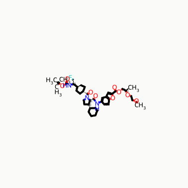 COCCO[C@H](C)COC(=O)c1cc2cc(NC(=O)[C@@H]3[C@H](C4CCCCC4)CCN3C(=O)[C@H]3CC[C@H]([C@@H](CF)NC(=O)OC(C)(C)C)CC3)ccc2o1